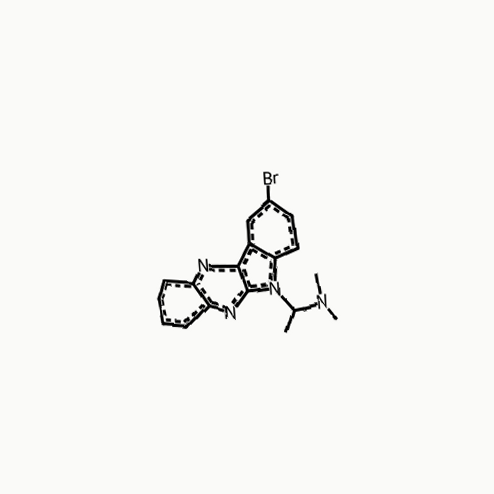 CC(N(C)C)n1c2ccc(Br)cc2c2nc3ccccc3nc21